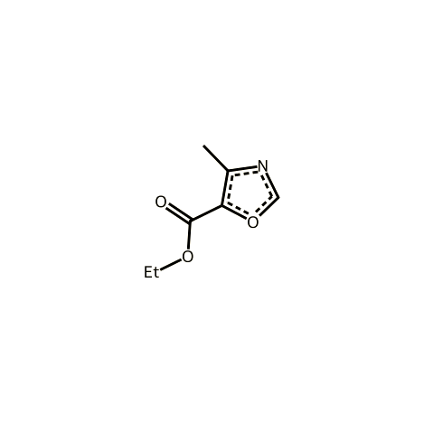 CCOC(=O)c1ocnc1C